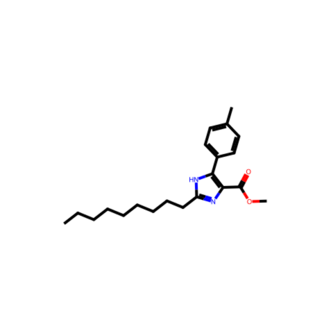 CCCCCCCCCc1nc(C(=O)OC)c(-c2ccc(C)cc2)[nH]1